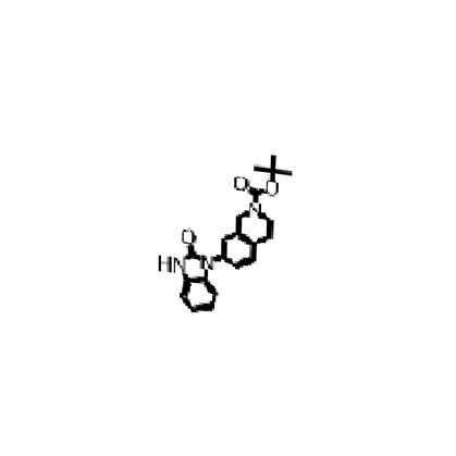 CC(C)(C)OC(=O)N1CCc2ccc(-n3c(=O)[nH]c4ccccc43)cc2C1